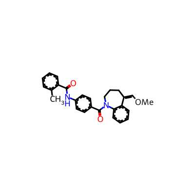 CO/C=C1/CCCN(C(=O)c2ccc(NC(=O)c3ccccc3C)cc2)c2ccccc21